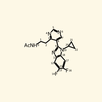 CC(=O)NCCc1ncncc1-c1nc2cc(F)c(F)cc2n1C1CC1